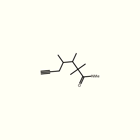 C#CCC(C)C(C)C(C)(C)C(=O)NC